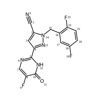 N#Cc1cc(-c2ncc(F)c(=O)[nH]2)nn1Cc1cc(F)ccc1F